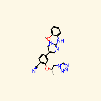 COc1ccccc1Nc1ncc(-c2ccc(C#N)c(O[C@@H](C)Cn3cnnn3)c2)cn1